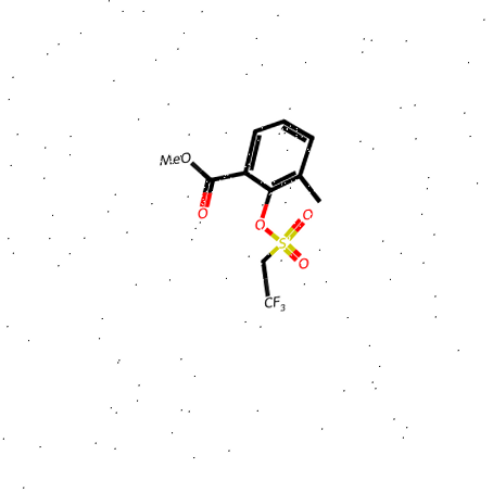 COC(=O)c1cccc(C)c1OS(=O)(=O)CC(F)(F)F